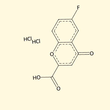 Cl.Cl.O=C(O)c1cc(=O)c2cc(F)ccc2o1